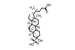 C[C@H](CCC(=O)O)[C@H]1CC[C@H]2[C@@H]3CC[C@@H]4C[C@@](O)(S(=O)(=O)O)CC[C@]4(C)[C@H]3CC[C@]12C